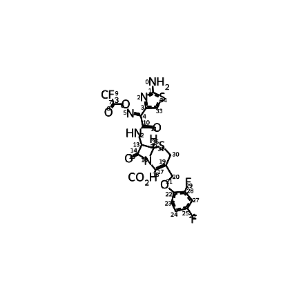 Nc1nc(C(=NOC(=O)C(F)(F)F)C(=O)NC2C(=O)N3C(C(=O)O)=C(COc4ccc(F)cc4F)CS[C@@H]23)cs1